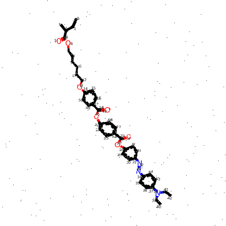 CCC(C)C(=O)OCCCCCCOc1ccc(C(=O)Oc2ccc(C(=O)Oc3ccc(/N=N/c4ccc(N(CC)CC)cc4)cc3)cc2)cc1